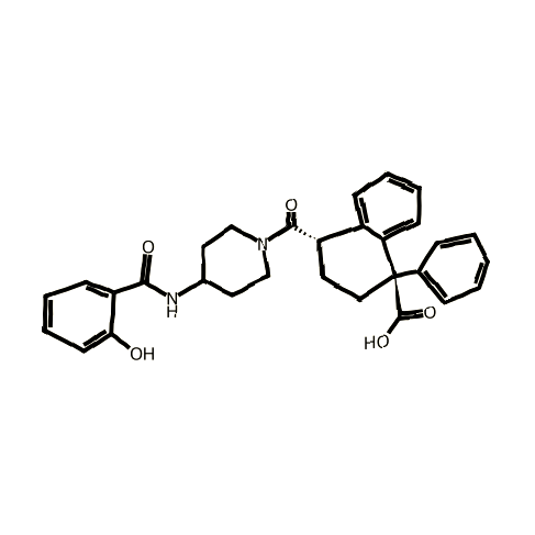 O=C(NC1CCN(C(=O)[C@H]2CC[C@@](C(=O)O)(c3ccccc3)c3ccccc32)CC1)c1ccccc1O